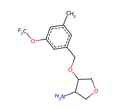 Cc1cc(COC2COCC2N)cc(OC(F)(F)F)c1